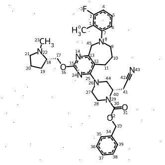 Cc1c(F)cccc1N1CCCc2c(nc(OC[C@@H]3CCCN3C)nc2N2CCN(C(=O)OCc3ccccc3)[C@@H](CC#N)C2)C1